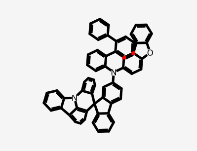 c1ccc(-c2ccccc2-c2ccccc2N(c2ccc3c(c2)C2(c4ccccc4-3)c3ccccc3-n3c4ccccc4c4cccc2c43)c2ccc3oc4ccccc4c3c2)cc1